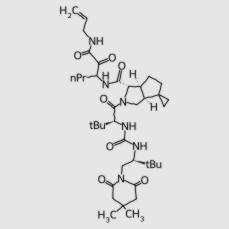 C=CCNC(=O)C(=O)C(CCC)NC(=O)[C@@H]1[C@H]2CCC3(CC3)[C@H]2CN1C(=O)[C@@H](NC(=O)N[C@H](CN1C(=O)CC(C)(C)CC1=O)C(C)(C)C)C(C)(C)C